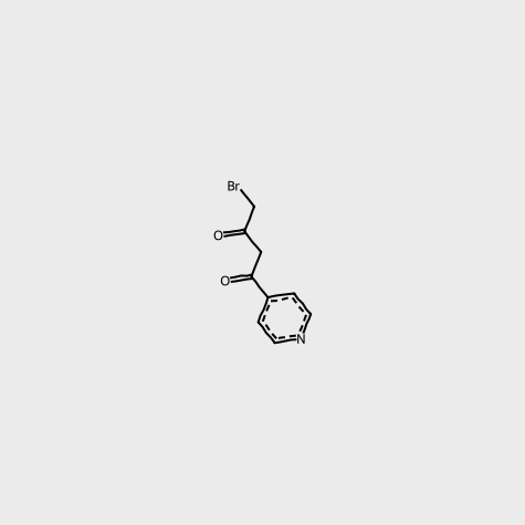 O=C(CBr)CC(=O)c1ccncc1